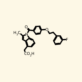 Cc1cc2c(CC(=O)O)cccc2n1C(=O)c1ccc(OCCc2cccc(F)c2)cc1